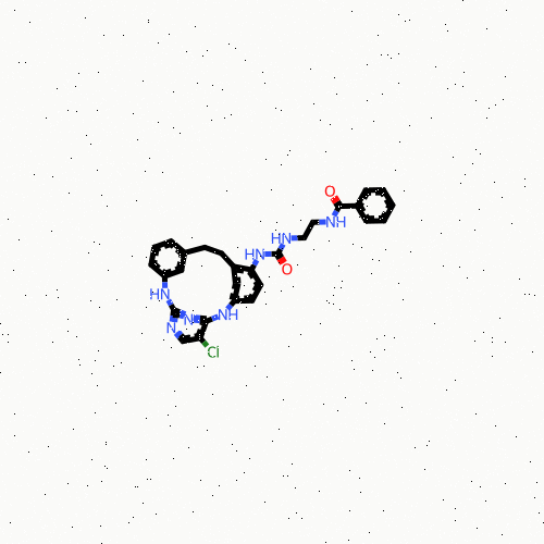 O=C(NCCNC(=O)c1ccccc1)Nc1ccc2cc1CCc1cccc(c1)Nc1ncc(Cl)c(n1)N2